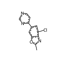 Cc1nc2c(Cl)cc(-c3ccncn3)cc2o1